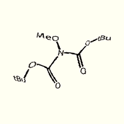 CON(C(=O)OC(C)(C)C)C(=O)OC(C)(C)C